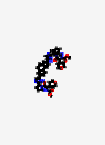 COC(=O)N[C@H](C(=O)N1CCC[C@H]1c1ncc(-c2ccc3c(c2)CCc2cc(-c4cnc([C@@H]5[C@H]6CC[C@H](C6)N5C(=O)[C@@H](NC(=O)OC)C5CCOCC5)[nH]4)ccc2-3)[nH]1)C1CCOCC1